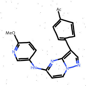 COc1ccc(Nc2ccn3ncc(-c4ccc(C(C)=O)cc4)c3n2)cn1